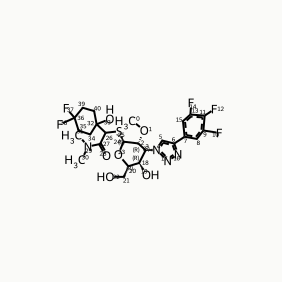 CO[C@@H]1[C@@H](n2cc(-c3cc(F)c(F)c(F)c3)nn2)[C@@H](O)[C@@H](CO)O[C@H]1SC(C(=O)N(C)C)C1(O)CCC(F)(F)CC1